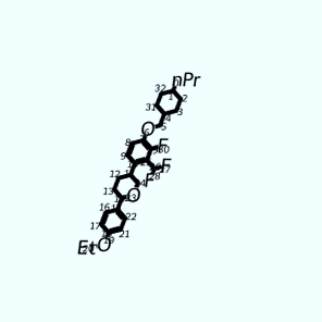 CCCC1CCC(COc2ccc(C3CCC(c4ccc(OCC)cc4)OC3)c(C(F)F)c2F)CC1